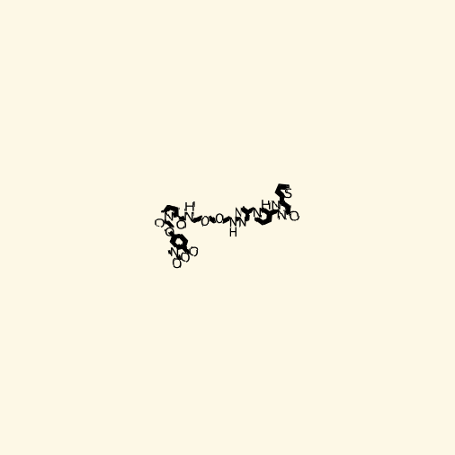 Cn1c(=O)oc(=O)c2ccc(OCC(=O)N3CCC[C@H]3C(=O)NCCOCCOCCNc3ncc(CN4CCCC(c5nc(=O)cc(-c6cccs6)[nH]5)C4)cn3)cc21